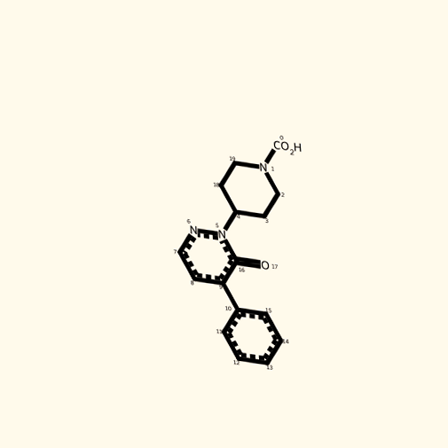 O=C(O)N1CCC(n2nccc(-c3ccccc3)c2=O)CC1